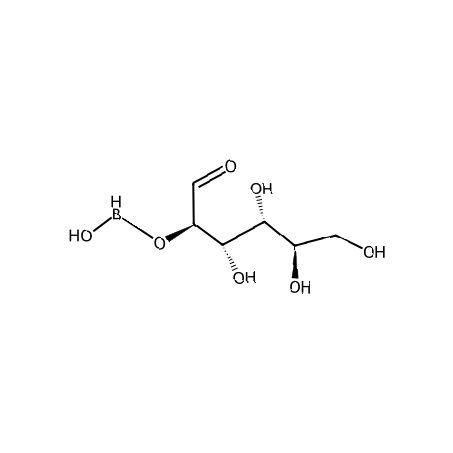 O=C[C@H](OBO)[C@@H](O)[C@H](O)[C@H](O)CO